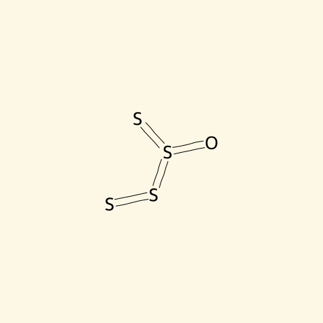 O=S(=S)=S=S